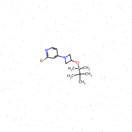 CC(C)(C)[Si](C)(C)OC1CN(c2ccnc(Br)c2)C1